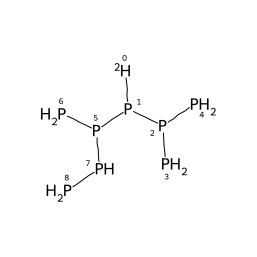 [2H]P(P(P)P)P(P)PP